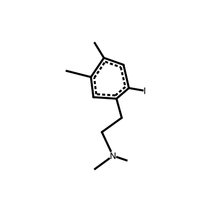 Cc1cc(I)c(CCN(C)C)cc1C